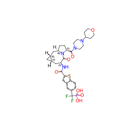 O=C(N[C@H]1C[C@@H]2C[C@@H]2C[C@H]2CC[C@@H](C(=O)N3CCN(C4CCOCC4)CC3)N2C1=O)c1cc2cc(C(F)(F)P(=O)(O)O)ccc2s1